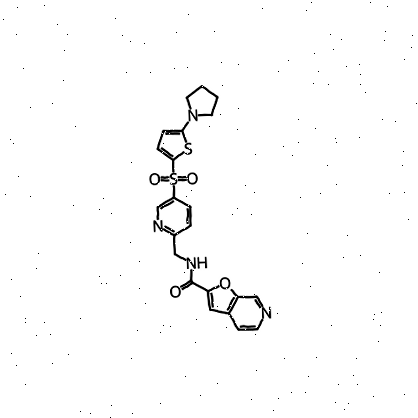 O=C(NCc1ccc(S(=O)(=O)c2ccc(N3CCCC3)s2)cn1)c1cc2ccncc2o1